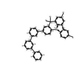 Cc1ccc2c(c1)c1cc(C)cc3c1n2-c1ccc(-c2cccc(-c4cccc(-c5ccccc5)c4)c2)cc1C3(C)C